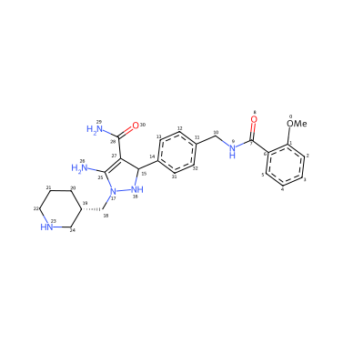 COc1ccccc1C(=O)NCc1ccc(C2NN(C[C@H]3CCCNC3)C(N)=C2C(N)=O)cc1